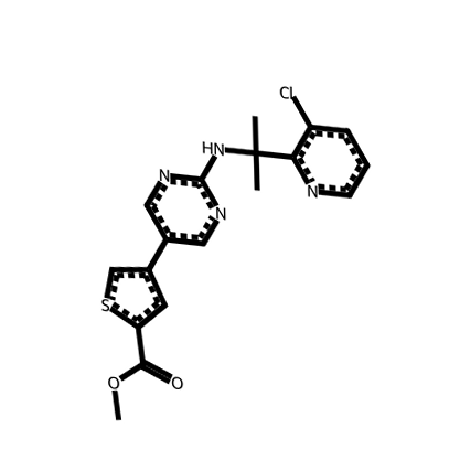 COC(=O)c1cc(-c2cnc(NC(C)(C)c3ncccc3Cl)nc2)cs1